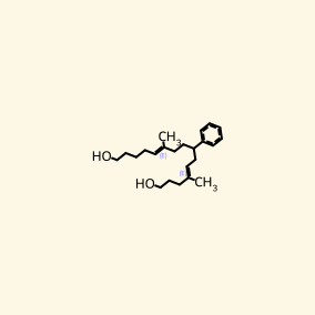 C/C(=C\CC(CC/C(C)=C/CCCCO)c1ccccc1)CCCO